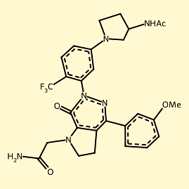 COc1cccc(-c2nn(-c3cc(N4CCC(NC(C)=O)C4)ccc3C(F)(F)F)c(=O)c3c2CCN3CC(N)=O)c1